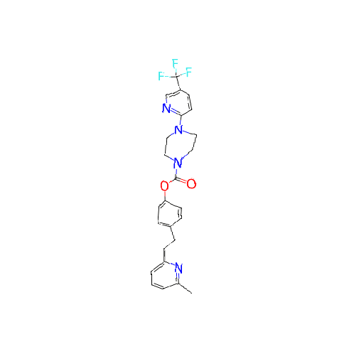 Cc1cccc(CCc2ccc(OC(=O)N3CCN(c4ccc(C(F)(F)F)cn4)CC3)cc2)n1